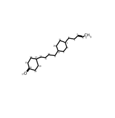 C/C=C/CCC1CCC(CCCCC2CCC(=O)CC2)CC1